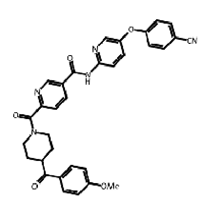 COc1ccc(C(=O)C2CCN(C(=O)c3ccc(C(=O)Nc4ccc(Oc5ccc(C#N)cc5)cn4)cn3)CC2)cc1